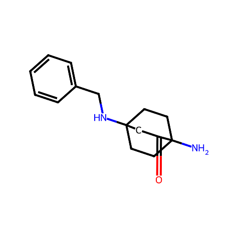 NC12CCC(NCc3ccccc3)(CC1)CC2=O